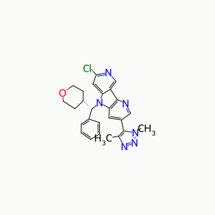 Cc1nnn(C)c1-c1cnc2c3cnc(Cl)cc3n([C@H](c3ccccc3)C3CCOCC3)c2c1